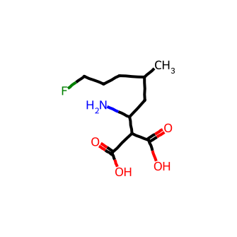 CC(CCCF)CC(N)C(C(=O)O)C(=O)O